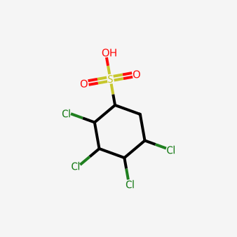 O=S(=O)(O)C1CC(Cl)C(Cl)C(Cl)C1Cl